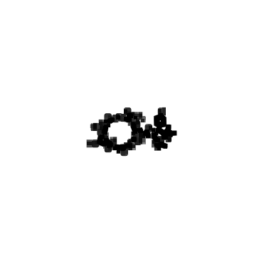 Cc1sc2c(c1C)C(c1ccc(Cl)cc1)=N[C@@H](CC(=O)NC[C@H]1NC(=O)CNC(=O)[C@@H](C)NC(=O)[C@@H]3C[C@@H](O)CN3C(=O)[C@H](C(C)(C)C)NC(=O)CSC[C@H](C(N)=O)NC1=O)c1nnc(C)n1-2